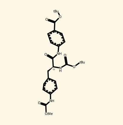 COC(=O)Nc1ccc(C[C@H](NC(=O)OC(C)(C)C)C(=O)Nc2ccc(C(=O)OC(C)(C)C)cc2)cc1